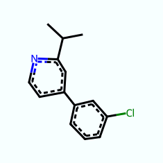 CC(C)c1cc(-c2cccc(Cl)c2)ccn1